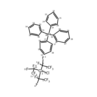 FC(F)(F)[C](F)(F)[Ga-]([Cl])([C](F)(F)C(F)(F)F)[C](F)(F)C(F)(F)F.c1ccc([P+](c2ccccc2)(c2ccccc2)c2ccccc2)cc1